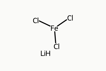 [Cl][Fe]([Cl])[Cl].[LiH]